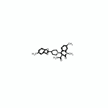 Cc1ccc2oc(C3CCN(c4c(C(N)=O)c(=O)n(C)c5cc(C)ccc45)CC3)nc2c1